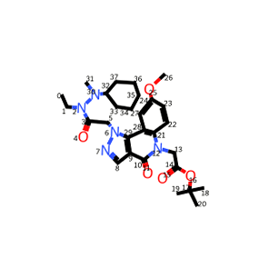 CCN(C(=O)Cn1ncc2c(=O)n(CC(=O)OC(C)(C)C)c3ccc(OC)cc3c21)N(C)C1CCCCC1